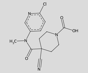 CN(C(=O)C1(C#N)CCN(C(=O)O)CC1)c1ccc(Cl)nc1